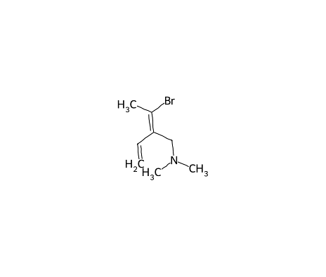 C=C/C(CN(C)C)=C(\C)Br